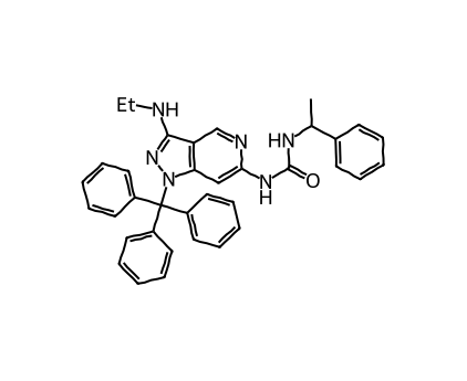 CCNc1nn(C(c2ccccc2)(c2ccccc2)c2ccccc2)c2cc(NC(=O)NC(C)c3ccccc3)ncc12